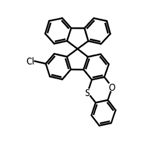 Clc1ccc2c(c1)C1(c3ccccc3-c3ccccc31)c1ccc3c(c1-2)Sc1ccccc1O3